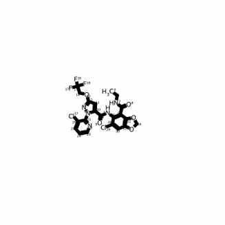 CCNC(=O)c1c(NC(=O)c2cc(OCC(F)(F)F)nn2-c2ncccc2Cl)c(Cl)cc2c1OCO2